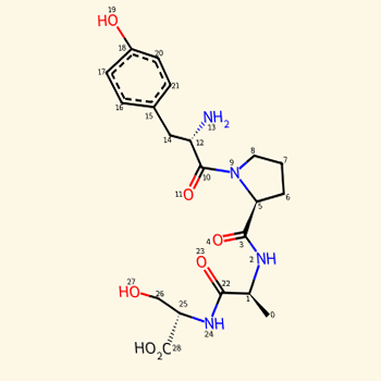 C[C@H](NC(=O)[C@@H]1CCCN1C(=O)[C@@H](N)Cc1ccc(O)cc1)C(=O)N[C@@H](CO)C(=O)O